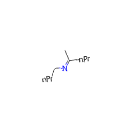 CCCCN=C(C)CCC